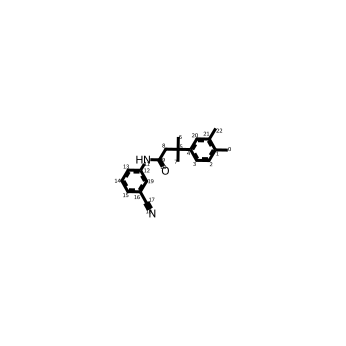 Cc1ccc(C(C)(C)CC(=O)Nc2cccc(C#N)c2)cc1C